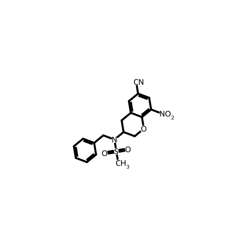 CS(=O)(=O)N(Cc1ccccc1)C1COc2c(cc(C#N)cc2[N+](=O)[O-])C1